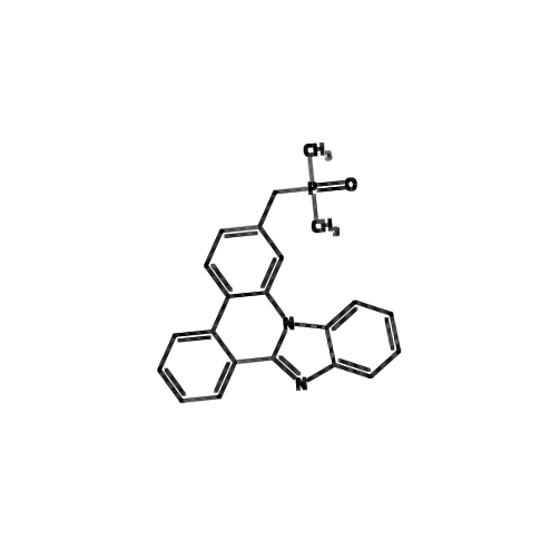 CP(C)(=O)Cc1ccc2c3ccccc3c3nc4ccccc4n3c2c1